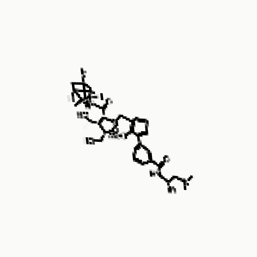 COc1c(CN2O[C@@H](CO)[C@@H]([C@H](C)O)[C@H]2C(=O)N[C@H]2C[C@H]3C[C@@H]([C@@H]2C)C3(C)C)cccc1-c1cccc(C(=O)N[C@@H](CN(C)C)C(C)C)c1